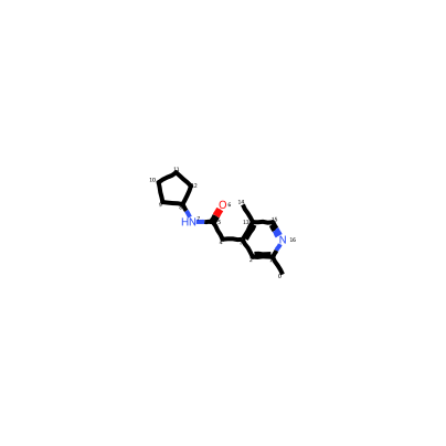 Cc1cc(CC(=O)NC2CCCC2)c(C)cn1